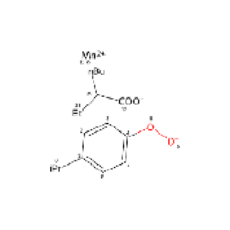 CC(C)c1ccc(O[O-])cc1.CCCCC(CC)C(=O)[O-].[Mn+2]